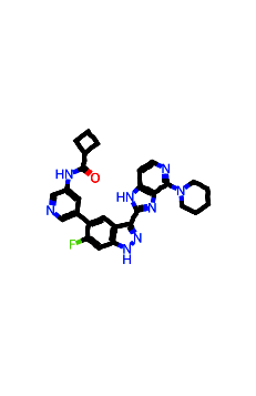 O=C(Nc1cncc(-c2cc3c(-c4nc5c(N6CCCCC6)nccc5[nH]4)n[nH]c3cc2F)c1)C1CCC1